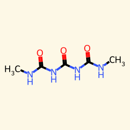 CNC(=O)NC(=O)NC(=O)NC